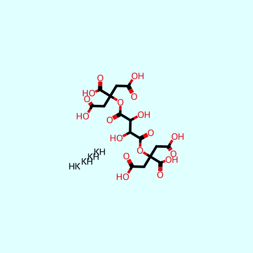 O=C(O)CC(CC(=O)O)(OC(=O)C(O)C(O)C(=O)OC(CC(=O)O)(CC(=O)O)C(=O)O)C(=O)O.[KH].[KH].[KH].[KH]